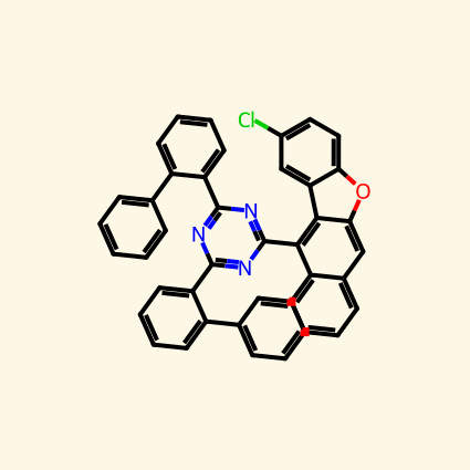 Clc1ccc2oc3cc4ccccc4c(-c4nc(-c5ccccc5-c5ccccc5)nc(-c5ccccc5-c5ccccc5)n4)c3c2c1